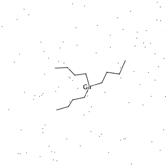 CCC[CH2][Ga]([CH2]CCC)[CH2]CCC